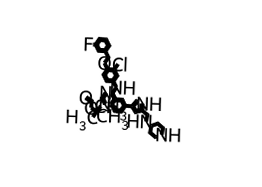 CC(C)(C)OC=O.Fc1cccc(COc2ccc(Nc3ncnc4ccc(-c5c[nH]c(CNC6CCNCC6)c5)cc34)cc2Cl)c1